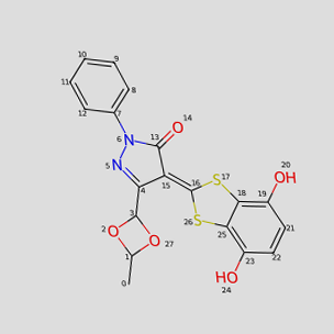 CC1OC(C2=NN(c3ccccc3)C(=O)C2=C2Sc3c(O)ccc(O)c3S2)O1